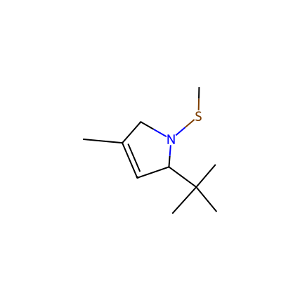 CSN1CC(C)=CC1C(C)(C)C